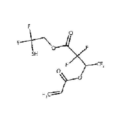 C=CC(=O)OC(C(F)(F)F)C(F)(F)C(=O)OCC(F)(F)S